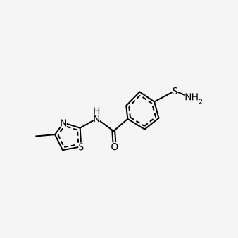 Cc1csc(NC(=O)c2ccc(SN)cc2)n1